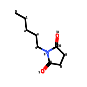 CCCCCN1C(=O)CCC1=O